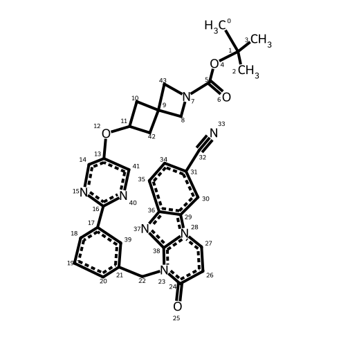 CC(C)(C)OC(=O)N1CC2(CC(Oc3cnc(-c4cccc(Cn5c(=O)ccn6c7cc(C#N)ccc7nc56)c4)nc3)C2)C1